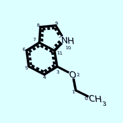 CCOc1cc[c]c2cc[nH]c12